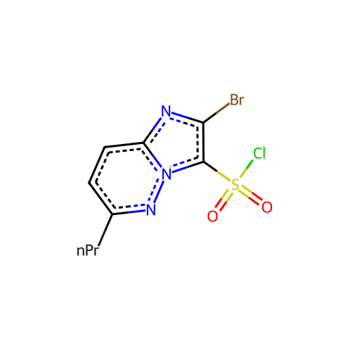 CCCc1ccc2nc(Br)c(S(=O)(=O)Cl)n2n1